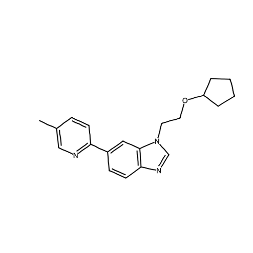 Cc1ccc(-c2ccc3ncn(CCOC4CCCC4)c3c2)nc1